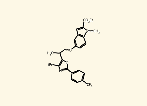 CCOC(=O)c1cc2cc(OCC(C)c3oc(-c4ccc(C(F)(F)F)cc4)nc3C(C)C)ccc2n1C